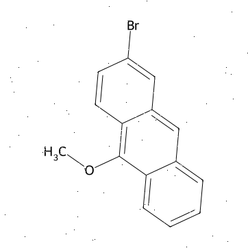 COc1c2ccccc2cc2cc(Br)ccc12